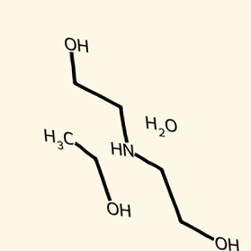 CCO.O.OCCNCCO